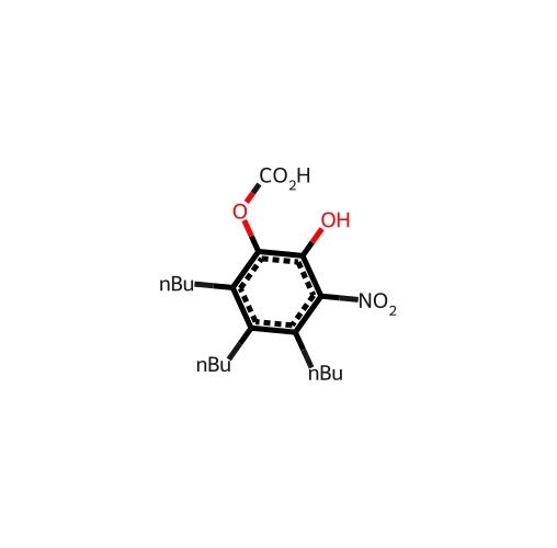 CCCCc1c(CCCC)c(OC(=O)O)c(O)c([N+](=O)[O-])c1CCCC